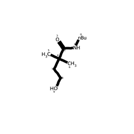 CCCCNC(=O)C(C)(C)CCO